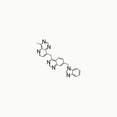 Cc1ncnc2c(Cc3ncnc4cc(Cn5cnc6ccccc65)ccc34)ccnc12